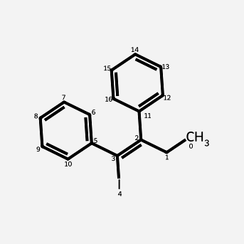 CC/C(=C(\I)c1ccccc1)c1ccccc1